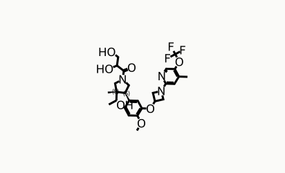 COc1ccc([C@@H]2CN(C(=O)C(O)CO)C[C@@]2(C)C(C)O)cc1OC1CN(c2cc(C)c(OC(F)(F)F)cn2)C1